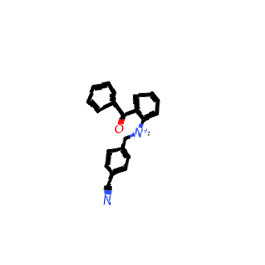 N#Cc1ccc(C[N+]c2ccccc2C(=O)c2ccccc2)cc1